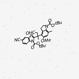 COc1cc(C)c2c(c1C(C)(CC=O)c1nc3cc(C#N)ccc3n1C(=O)OC(C)(C)C)CCN2C(=O)OC(C)(C)C